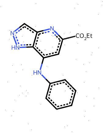 CCOC(=O)c1cc(Nc2ccccc2)c2[nH]ncc2n1